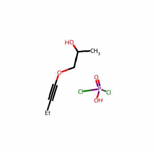 CCC#COCC(C)O.O=P(O)(Cl)Cl